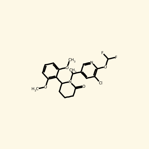 COc1cccc(OC)c1C1CCCC(=O)N1C(C)c1cnc(OC(F)F)c(Cl)c1